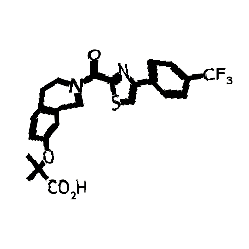 CC(C)(Oc1ccc2c(c1)CN(C(=O)c1nc(-c3ccc(C(F)(F)F)cc3)cs1)CC2)C(=O)O